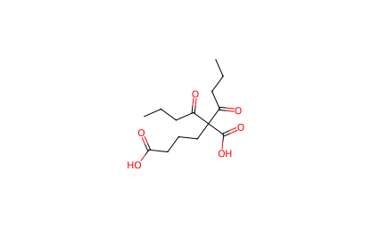 CCCC(=O)C(CCCC(=O)O)(C(=O)O)C(=O)CCC